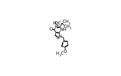 COc1ccc(Cn2ncc3c(=O)[n+]([O-])c(C(C)(C)C)[nH]c32)cc1